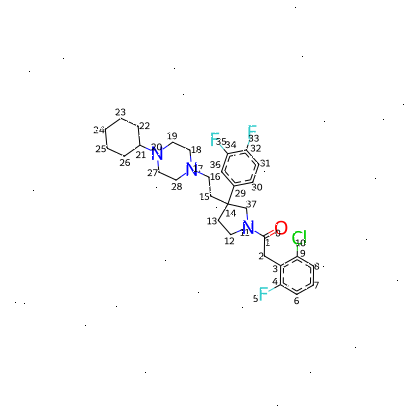 O=C(Cc1c(F)cccc1Cl)N1CCC(CCN2CCN(C3CCCCC3)CC2)(c2ccc(F)c(F)c2)C1